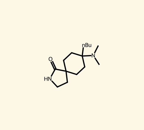 CCCCC1(N(C)C)CCC2(CCNC2=O)CC1